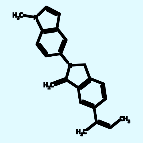 C=C1c2cc(/C(C)=C\C)ccc2CN1c1ccc2c(ccn2C)c1